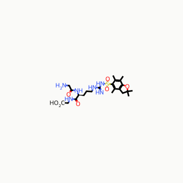 Cc1c(C)c(S(=O)(=O)NC(=N)NCCC[C@H](NC(=O)CN)C(=O)NCC(=O)O)c(C)c2c1OC(C)(C)C2